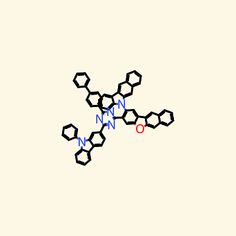 c1ccc(-c2ccc(-c3nc(-c4ccc5c6ccccc6n(-c6ccccc6)c5c4)nc(-c4cc5oc6cc7ccccc7cc6c5cc4-n4c5ccccc5c5cc6ccccc6cc54)n3)cc2)cc1